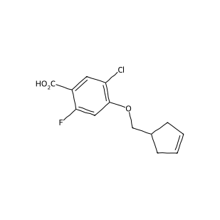 O=C(O)c1cc(Cl)c(OCC2CC=CC2)cc1F